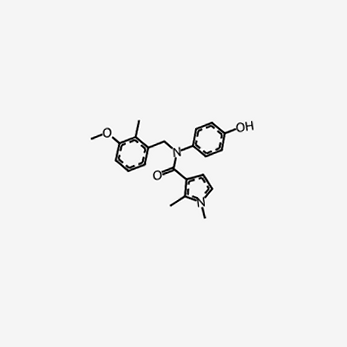 COc1cccc(CN(C(=O)c2ccn(C)c2C)c2ccc(O)cc2)c1C